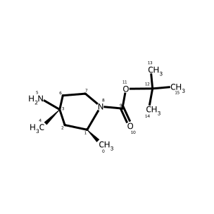 C[C@H]1C[C@](C)(N)CCN1C(=O)OC(C)(C)C